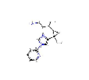 C[C@H](CCN)C1CC1(C(=O)O)c1cn(-c2ccccn2)cn1